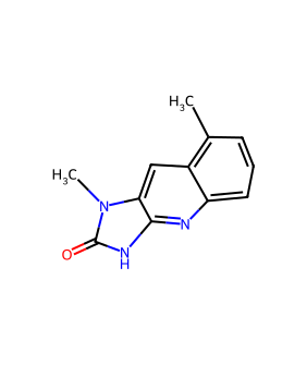 Cc1cccc2nc3[nH]c(=O)n(C)c3cc12